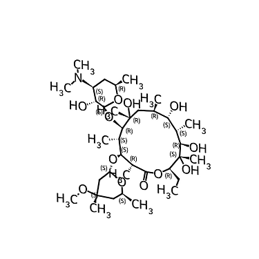 CC[C@H]1OC(=O)[C@H](C)[C@@H](O[C@H]2C[C@@](C)(OC)C[C@H](C)O2)[C@H](C)[C@@H](O[C@@H]2O[C@H](C)C[C@H](N(C)C)[C@H]2O)[C@](C)(O)C[C@@H](C)[C@H](O)[C@H](C)[C@@H](O)[C@]1(C)O